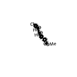 COC(=O)C[C@H]1CC[C@H](c2ccc(NC(=O)CCNC(=O)c3ccc(Cl)cc3)cc2)CC1